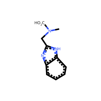 CN(Cc1nc2ccccc2[nH]1)C(=O)O